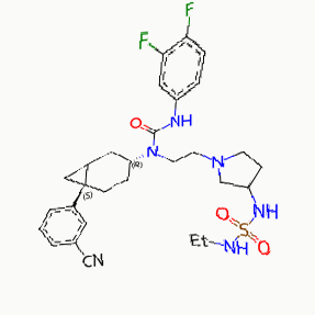 CCNS(=O)(=O)NC1CCN(CCN(C(=O)Nc2ccc(F)c(F)c2)[C@@H]2CC[C@]3(c4cccc(C#N)c4)CC3C2)C1